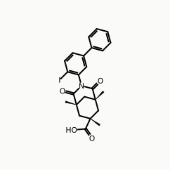 C[C@@]1(C(=O)O)C[C@@]2(C)C[C@@](C)(C1)C(=O)N(c1cc(-c3ccccc3)ccc1I)C2=O